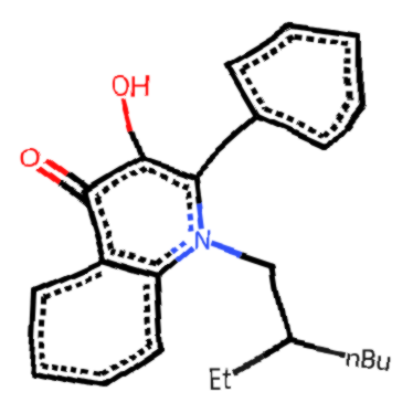 CCCCC(CC)Cn1c(-c2ccccc2)c(O)c(=O)c2ccccc21